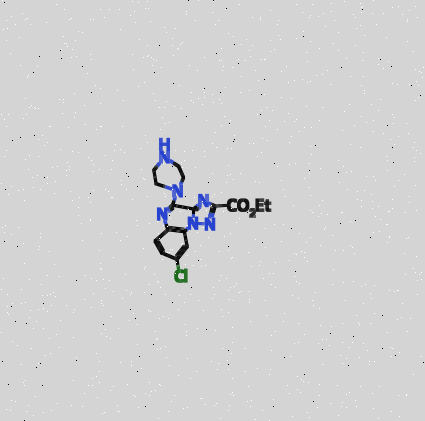 CCOC(=O)c1nc2c(N3CCNCC3)nc3ccc(Cl)cc3n2n1